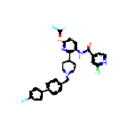 O=C(Nc1ccc(OC(F)F)nc1C1CCN(Cc2ccc(-c3ccc(F)cc3)cc2)CC1)c1ccnc(Cl)c1